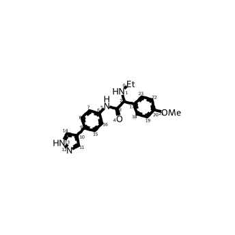 CCNC(C(=O)Nc1ccc(-c2cn[nH]c2)cc1)c1ccc(OC)cc1